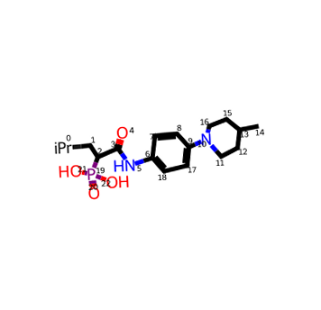 CC(C)CC(C(=O)Nc1ccc(N2CCC(C)CC2)cc1)P(=O)(O)O